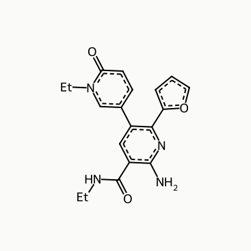 CCNC(=O)c1cc(-c2ccc(=O)n(CC)c2)c(-c2ccco2)nc1N